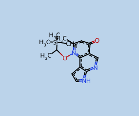 Cc1cc(=O)c2cnc3[nH]ccc3c2n1OC(C)[Si](C)(C)C